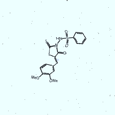 COc1ccc(/C=C2\SC(=S)N(NS(=O)(=O)c3ccccc3)C2=O)cc1OC